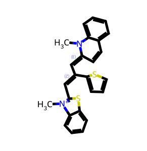 CN1/C(=C/C(=C/c2sc3ccccc3[n+]2C)c2cccs2)C=Cc2ccccc21